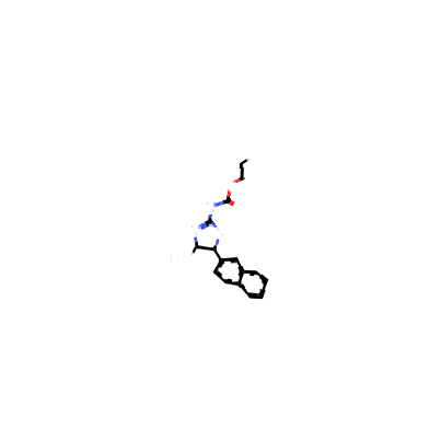 CCCOC(=O)NC1=NC(C)C(c2ccc3ccccc3c2)N1